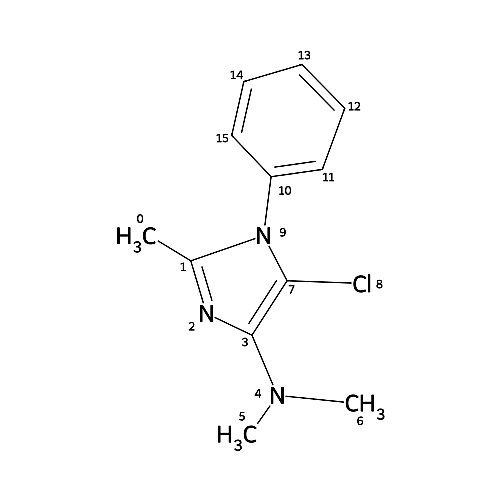 Cc1nc(N(C)C)c(Cl)n1-c1ccccc1